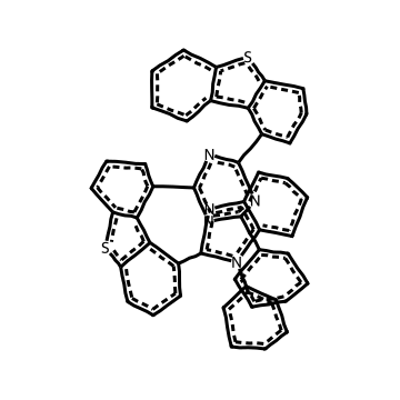 c1ccc(-c2nc(-c3cccc4sc5ccccc5c34)nc(-c3cccc4sc5cccc(-c6nc7ccccc7n6-c6ccccc6)c5c34)n2)cc1